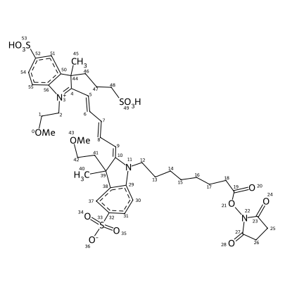 COCC[N+]1=C(/C=C/C=C/C=C2/N(CCCCCCCC(=O)ON3C(=O)CCC3=O)c3ccc(S(=O)(=O)[O-])cc3C2(C)CCOC)C(C)(CCCS(=O)(=O)O)c2cc(S(=O)(=O)O)ccc21